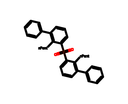 CCCCCc1c(-c2ccccc2)cccc1S(=O)(=O)c1cccc(-c2ccccc2)c1CCCCC